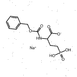 O=C(NC(CCP(=O)(O)O)C(=O)[O-])OCc1ccccc1.[Na+]